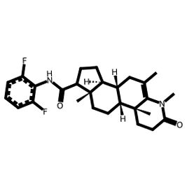 CC1=C2N(C)C(=O)CC[C@]2(C)[C@@H]2CC[C@]3(C)C(C(=O)Nc4c(F)cccc4F)CC[C@H]3[C@@H]2C1